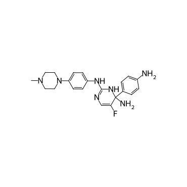 CN1CCN(c2ccc(NC3=NC=C(F)C(N)(c4ccc(N)cc4)N3)cc2)CC1